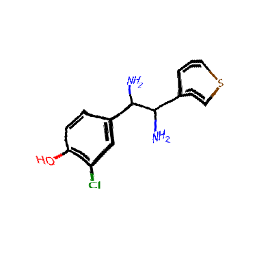 N[C](c1ccc(O)c(Cl)c1)C(N)c1ccsc1